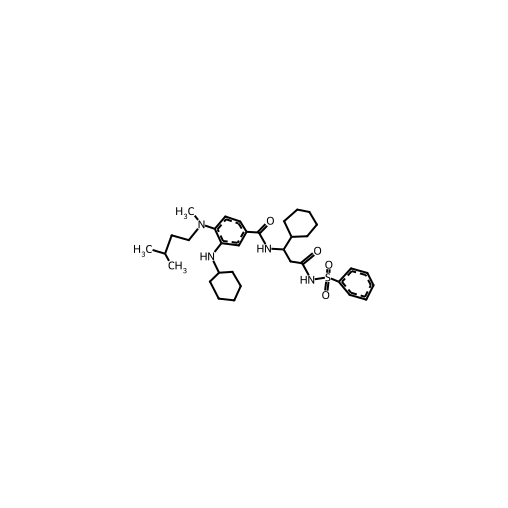 CC(C)CCN(C)c1ccc(C(=O)NC(CC(=O)NS(=O)(=O)c2ccccc2)C2CCCCC2)cc1NC1CCCCC1